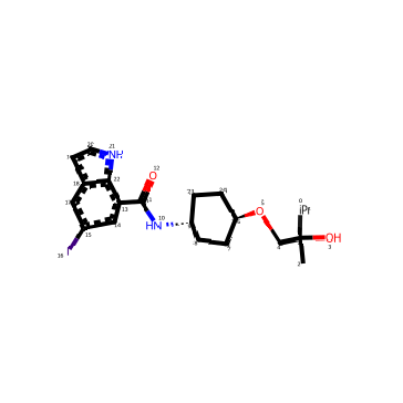 CC(C)C(C)(O)CO[C@H]1CC[C@H](NC(=O)c2cc(I)cc3cc[nH]c23)CC1